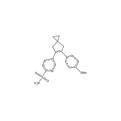 CSc1ccc(C2=C(c3ccc(S(N)(=O)=O)nc3)CC3(CC3)C2)cc1